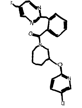 O=C(c1ccccc1-c1ncc(F)cn1)N1CCCC(Oc2ccc(Cl)cn2)C1